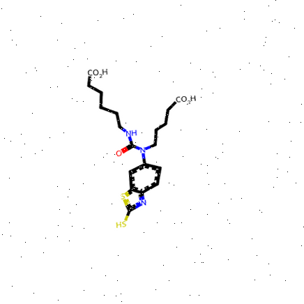 O=C(O)CCCCCNC(=O)N(CCCCC(=O)O)c1ccc2nc(S)sc2c1